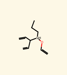 C=CO[SiH](CCC)C(C=C)C=C